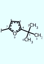 CC(C)(C)c1ccc(I)o1